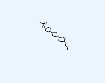 CCCC[C@H]1CC[C@H]([C@H]2CC[C@H]([C@H]3CC[C@H](OC(C)=O)CC3)CC2)CC1